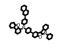 c1ccc(-n2c3ccccc3c3c4cc(-c5ccc(N(c6ccc(-c7ccc8ccccc8c7)cc6)c6cccc7c6oc6ccccc67)cc5)ccc4oc32)cc1